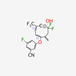 C=C1CC(F)(F)[C@@H](O)C/C(C(F)(F)F)=C\C=C/1Oc1cc(F)cc(C#N)c1